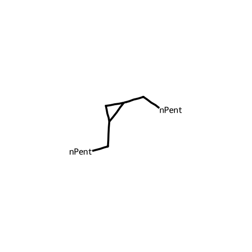 CCCCCC[C]1CC1CCCCCC